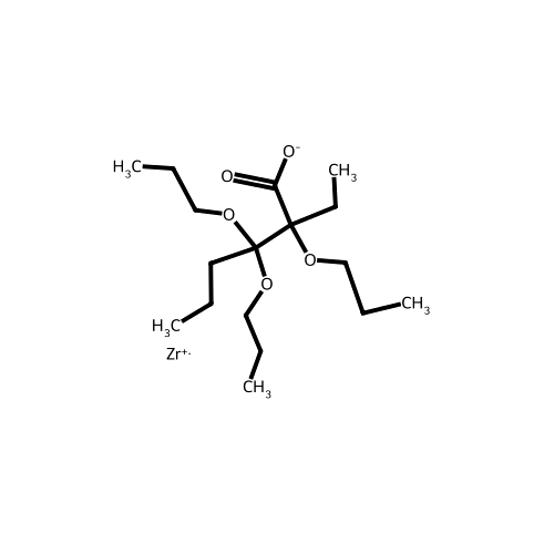 CCCOC(CCC)(OCCC)C(CC)(OCCC)C(=O)[O-].[Zr+]